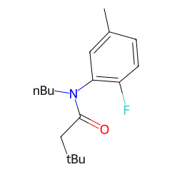 CCCCN(C(=O)CC(C)(C)C)c1cc(C)ccc1F